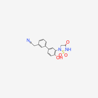 N#CCc1cccc(-c2ccc(O)c(N3CC(=O)NS3(=O)=O)c2)c1